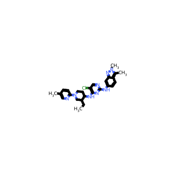 CCC1CN(c2ccc(C)cn2)CCC1Nc1nc(Nc2ccc3c(C)n(C)nc3c2)ncc1Cl